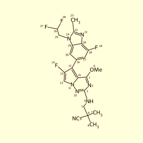 COc1nc(NCC(C)(C)C#N)nn2cc(F)c(-c3cc(F)c4nc(C)n(CC(F)F)c4c3)c12